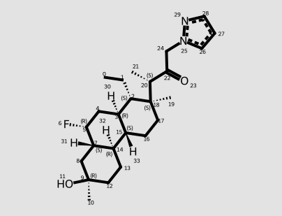 CC[C@H]1[C@@H]2C[C@@H](F)[C@H]3C[C@](C)(O)CC[C@@H]3[C@H]2CC[C@]1(C)[C@H](C)C(=O)Cn1cccn1